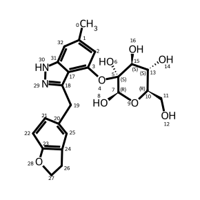 Cc1cc(O[C@]2(O)[C@H](O)O[C@H](CO)[C@@H](O)[C@@H]2O)c2c(Cc3ccc4c(c3)CCO4)n[nH]c2c1